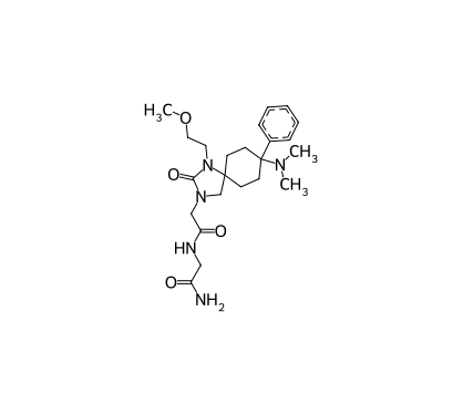 COCCN1C(=O)N(CC(=O)NCC(N)=O)CC12CCC(c1ccccc1)(N(C)C)CC2